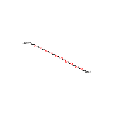 CCCCCCCCCCCCCOCCOCCOCCOCCOCCOCCOCCOCCOCCOCCOC